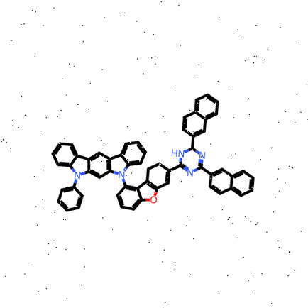 C1=C(C2=NC(c3ccc4ccccc4c3)=NC(c3ccc4ccccc4c3)N2)CCc2c1oc1cccc(-n3c4ccccc4c4cc5c6ccccc6n(-c6ccccc6)c5cc43)c21